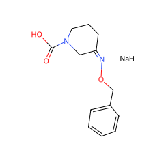 O=C(O)N1CCCC(=NOCc2ccccc2)C1.[NaH]